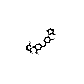 CC1CC(CC2CCC(N3C(=O)C=CC3=O)C(C)C2)CCC1N1C(=O)C=CC1=O